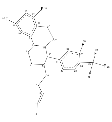 CC=CCCC1CCC2c3cc(F)cc(F)c3CCC2C1c1ccc(C(F)(F)F)c(F)c1